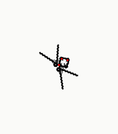 CCCCCCCCCCCCOc1cccc(C2=C(c3cccc(OCCCCCCCCCCCC)c3OCCCCCCCCCCCC)C3=NC2=CC2=NC(=CC4=NC(=CC5=NC(=C3)C=C5)C=C4)C=C2)c1OCCCCCCCCCCCC